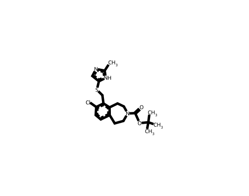 Cc1ncc(SCc2c(Cl)ccc3c2CCN(C(=O)OC(C)(C)C)CC3)[nH]1